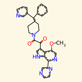 COc1cnc(-c2cnccn2)c2[nH]cc(C(=O)C(=O)N3CCC(=C(c4ccccc4)c4cccnc4)CC3)c12